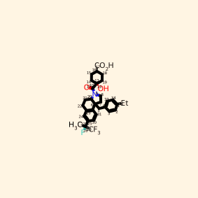 CCc1ccc(CC23CCN(C(=O)[C@]4(O)CC[C@@H](C(=O)O)CC4)C2CCc2cc(C(C)(F)C(F)(F)F)ccc23)cc1